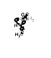 COc1ccc(C(NCCc2ccccc2)c2cccc(Nc3c(N)c(=O)c3=O)c2)cc1